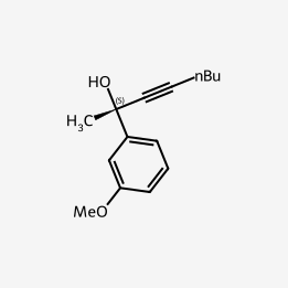 CCCCC#C[C@@](C)(O)c1cccc(OC)c1